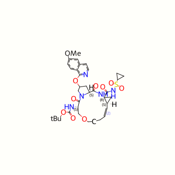 COc1ccc2c(OC3C[C@H]4C(=O)N[C@]5(C(=O)NS(=O)(=O)C6CC6)C[C@H]5/C=C\CCCOC[C@H](NC(=O)OC(C)(C)C)C(=O)N4C3)nccc2c1